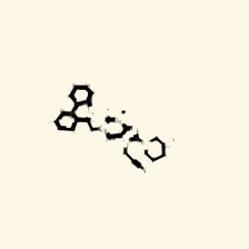 CC#CCn1c(N2CCC[C@@H](N)C2)nc2c1c(=O)n(Cc1nc3ccccc3c3ccccc13)c(=O)n2C